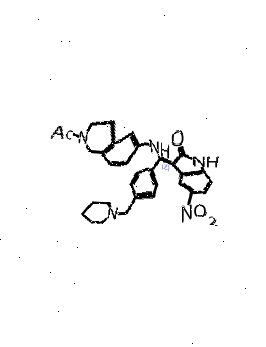 CC(=O)N1CCc2cc(N/C(=C3\C(=O)Nc4ccc([N+](=O)[O-])cc43)c3ccc(CN4CCCCC4)cc3)ccc2C1